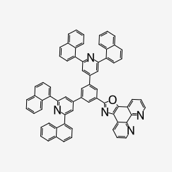 c1ccc2c(-c3cc(-c4cc(-c5cc(-c6cccc7ccccc67)nc(-c6cccc7ccccc67)c5)cc(-c5nc6c7cccnc7c7ncccc7c6o5)c4)cc(-c4cccc5ccccc45)n3)cccc2c1